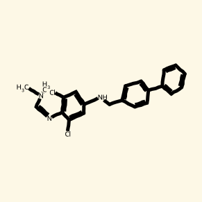 CN(C)/C=N\c1c(Cl)cc(NCc2ccc(-c3ccccc3)cc2)cc1Cl